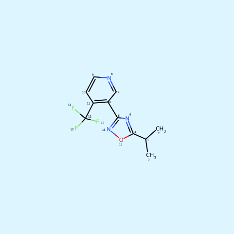 CC(C)c1nc(-c2cnccc2C(F)(F)F)no1